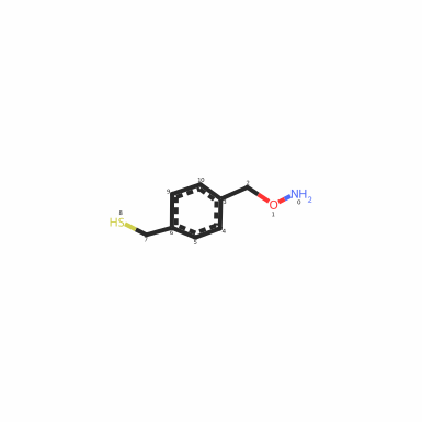 NOCc1ccc(CS)cc1